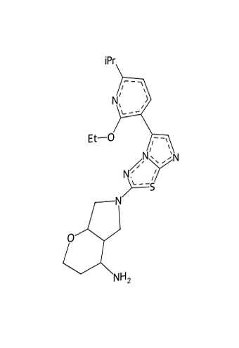 CCOc1nc(C(C)C)ccc1-c1cnc2sc(N3CC4OCCC(N)C4C3)nn12